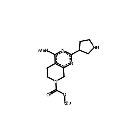 CNc1nc(C2CCNC2)nc2c1CCN(C(=O)OC(C)(C)C)C2